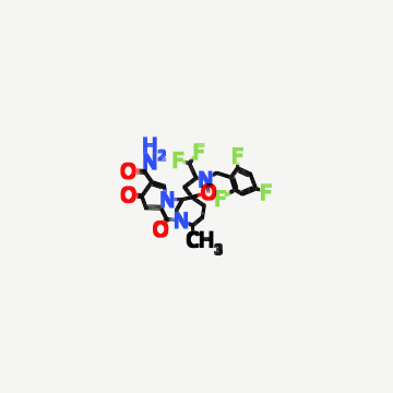 CC1CCC2(CC(C(F)F)N(Cc3c(F)cc(F)cc3F)O2)C2CN1C(=O)c1cc(=O)c(C(N)=O)cn12